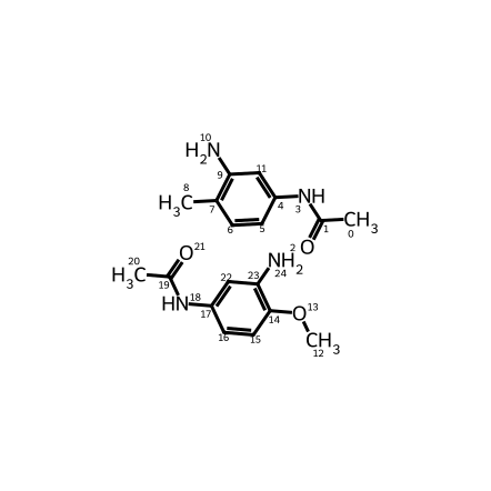 CC(=O)Nc1ccc(C)c(N)c1.COc1ccc(NC(C)=O)cc1N